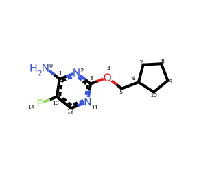 Nc1nc(OCC2CCCC2)ncc1F